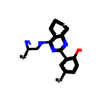 C[C@@H](N)CNc1nc(-c2cc([N+](=O)[O-])ccc2O)nc2ccccc12